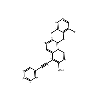 COc1ccc2c(Cc3c(Cl)cncc3Cl)nncc2c1C#Cc1ccncc1